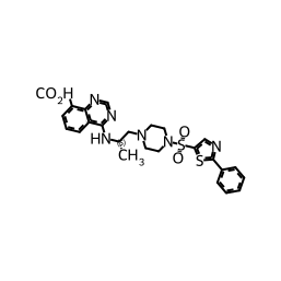 C[C@@H](CN1CCN(S(=O)(=O)c2cnc(-c3ccccc3)s2)CC1)Nc1ncnc2c(C(=O)O)cccc12